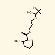 CCC(C)(C)[C@H](O)OCCCOC(=O)C1CCCCC1C(=O)O